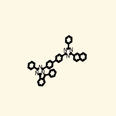 c1ccc(-c2nc(-c3ccc(-c4ccc(-c5nc(-c6ccccc6)nc6c7ccccc7c(-c7ccccc7)n56)cc4)cc3)nc(-c3ccc4ccccc4c3)n2)cc1